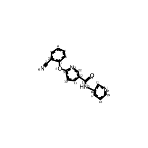 N#Cc1ccccc1Oc1ccc(C(=O)Nc2cccnc2)cn1